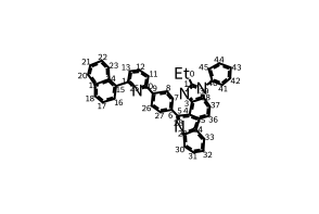 CCc1nc2c3c(-c4ccc(-c5cccc(-c6cccc7ccccc67)n5)cc4)nc4ccccc4c3ccc2n1-c1ccccc1